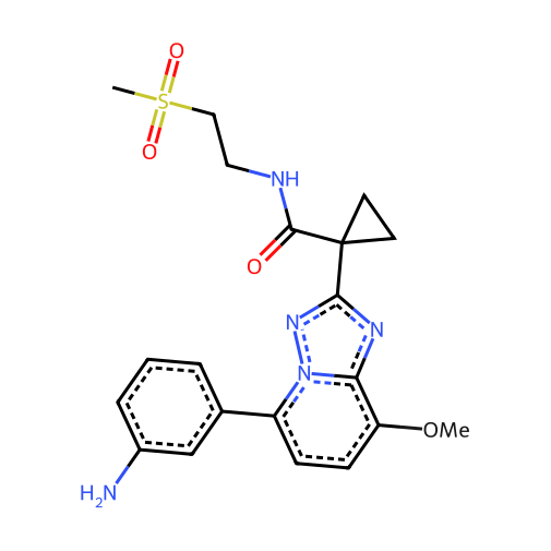 COc1ccc(-c2cccc(N)c2)n2nc(C3(C(=O)NCCS(C)(=O)=O)CC3)nc12